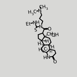 CCNC(=S)N(CCCN(C)C)C(=O)C1CC[C@H]2[C@@H]3CCC4NC(=O)CC[C@]4(C)[C@@H]3CC[C@]12C.Cl